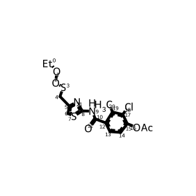 CCOOSCc1csc(NC(=O)c2ccc(OC(C)=O)c(Cl)c2C)n1